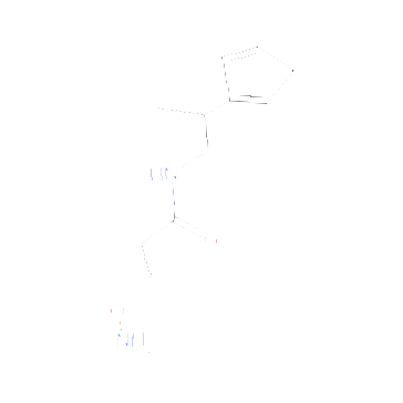 CC(CNC(=O)CCON)C1=CCC=C1